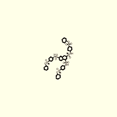 O=S(=O)(Nc1ccc(S(=O)(=O)Oc2ccccc2)cc1)c1ccc2c(S(=O)(=O)Nc3ccc(S(=O)(=O)Oc4ccccc4)cc3)cc(S(=O)(=O)Nc3ccc(S(=O)(=O)Oc4ccccc4)cc3)cc2c1